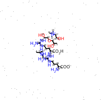 CC(=O)N1CC1C.CC(O)COCCO.C[N+](C)(C)CCO.N=C(N)NCCC[C@H](N)C(=O)O.N=C(N)NCCC[C@H](N)C(=O)[O-]